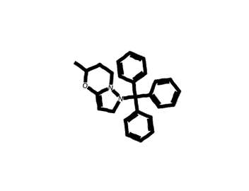 CC1CCN2C(=CCN2C(c2ccccc2)(c2ccccc2)c2ccccc2)O1